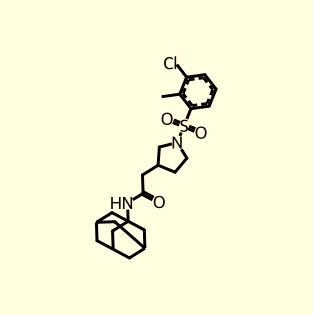 Cc1c(Cl)cccc1S(=O)(=O)N1CCC(CC(=O)NC23CC4CC(CC(C4)C2)C3)C1